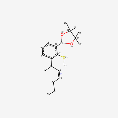 CCC/C=C\C(C)c1cccc(B2OC(C)(C)C(C)(C)O2)c1SC